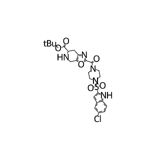 CC(C)(C)OC(=O)C1Cc2nc(C(=O)N3CCN(S(=O)(=O)c4cc5cc(Cl)ccc5[nH]4)CC3)oc2CN1